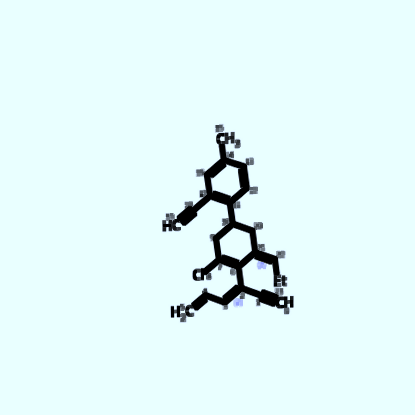 C#C/C(=C/C=C)C1=C(Cl)CC(c2ccc(C)cc2C#C)C/C1=C/CC